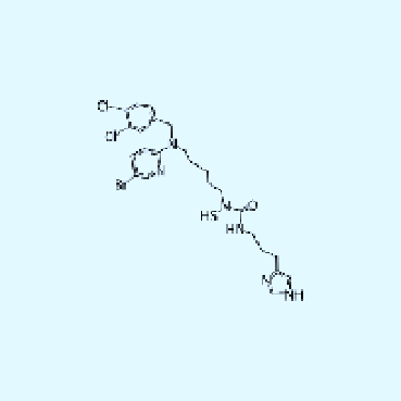 O=C(NCCCc1c[nH]cn1)N(S)CCCCCN(Cc1ccc(Cl)c(Cl)c1)c1ccc(Br)cn1